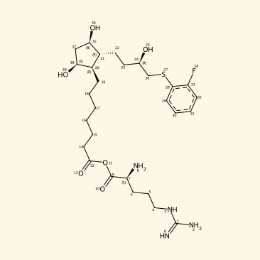 N=C(N)NCCC[C@H](N)C(=O)OC(=O)CCCCCC[C@@H]1[C@@H](CC[C@@H](O)CSc2ccccc2F)[C@H](O)C[C@@H]1O